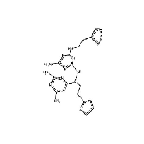 Nc1nc(NCCc2cccs2)nc(NN(CCc2cccs2)c2nc(N)nc(N)n2)n1